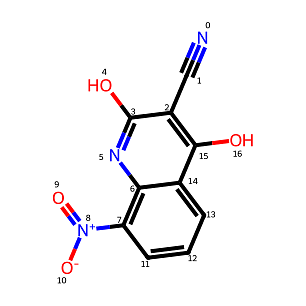 N#Cc1c(O)nc2c([N+](=O)[O-])cccc2c1O